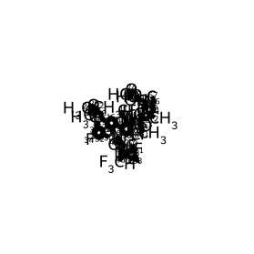 CC(C)(CC(=O)N(c1nn(CC(F)(F)F)c2c(-c3ccc(CCC(C)(C)S(C)(=O)=O)cc3[C@H](Cc3cc(F)cc(F)c3)NC(=O)Cn3nc(C(F)(F)F)c4c3C(F)(F)C3C[C@H]43)ccc(Cl)c12)S(C)(=O)=O)CN(CC(=O)O)C(=O)OCOP(=O)(O)O